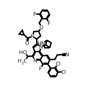 CC(O)c1nc2c(F)c(-c3cccc(Cl)c3Cl)c(CCC#N)cc2c2c1cc(C1CC(OCc3c(F)cccc3F)CN1C(=O)C1CC1)n2C1C2CNC1C2